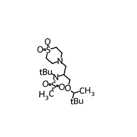 CC(OCC(CN1CCS(=O)(=O)CC1)N(C(C)(C)C)S(C)(=O)=O)C(C)(C)C